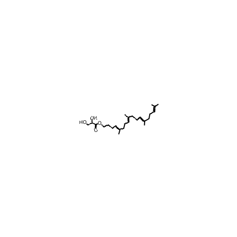 CC(C)=CCCC(C)=CCCC(C)=CCCC(C)=CCCCOC(=O)C(O)CO